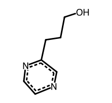 OCCCc1cnccn1